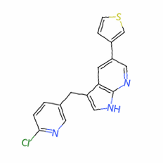 Clc1ccc(Cc2c[nH]c3ncc(-c4ccsc4)cc23)cn1